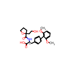 COc1cccc(OC)c1-c1ccc(C[C@H](NC(=O)C2(CCO)CCCO2)C(=O)O)cc1